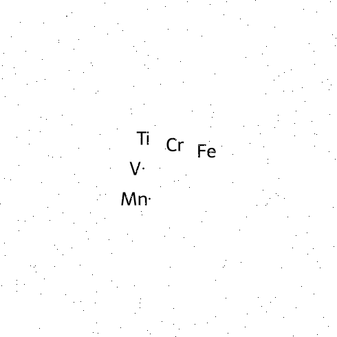 [Cr].[Fe].[Mn].[Ti].[V]